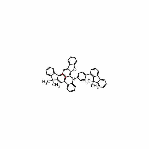 CC1(C)c2ccccc2-c2ccc(-c3ccccc3N(c3ccc(-c4cccc5c4C(C)(C)c4ccccc4-5)cc3)c3cccc4c3oc3ccccc34)cc21